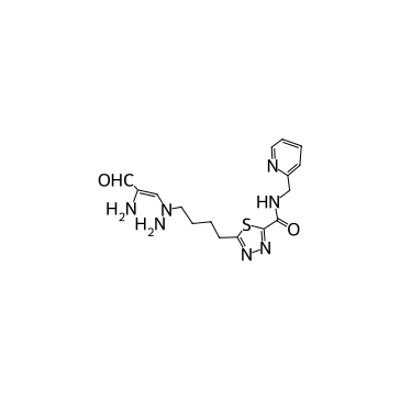 N/C(C=O)=C\N(N)CCCCc1nnc(C(=O)NCc2ccccn2)s1